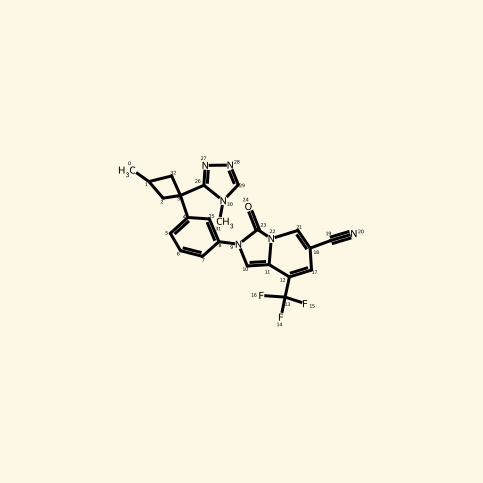 CC1CC(c2cccc(-n3cc4c(C(F)(F)F)cc(C#N)cn4c3=O)c2)(c2nncn2C)C1